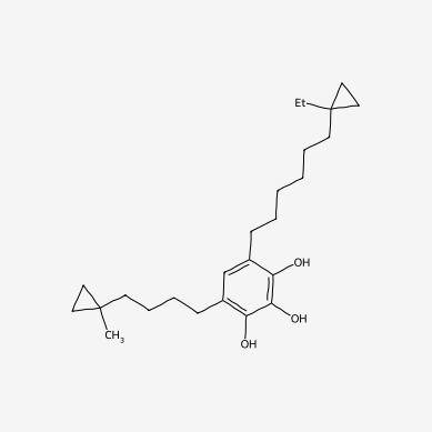 CCC1(CCCCCCc2cc(CCCCC3(C)CC3)c(O)c(O)c2O)CC1